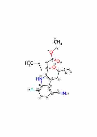 CCCC1(CC(=O)OCC)OC(C)Cc2c1[nH]c1c(F)ccc(C#N)c21